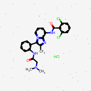 CN(C)CC(=O)Nc1ccccc1-c1c(C(F)(F)F)nc2c(NC(=O)c3c(Cl)cccc3Cl)cccn12.Cl